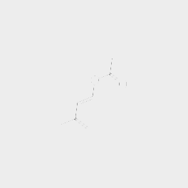 C=C(C)/C=C/OC(C)=O